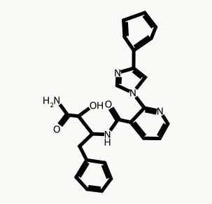 NC(=O)C(O)C(Cc1ccccc1)NC(=O)c1cccnc1-n1cnc(-c2ccccc2)c1